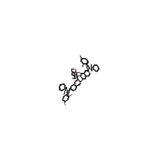 Cc1ccc(N(c2ccccc2)c2ccc3cc4c(cc3c2)C([Si](C)(C)C)([Si](C)(C)C)c2cc3cc(N(c5ccccc5)c5ccc(C)cc5C)ccc3cc2-4)c(C)c1